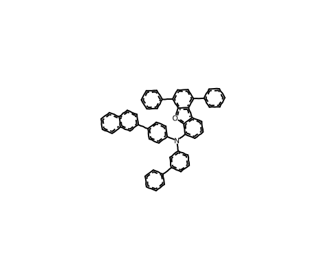 c1ccc(-c2cccc(N(c3ccc(-c4ccc5ccccc5c4)cc3)c3cccc4c3oc3c(-c5ccccc5)ccc(-c5ccccc5)c34)c2)cc1